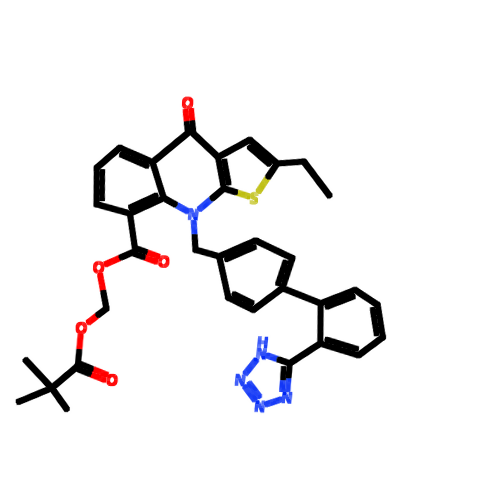 CCc1cc2c(=O)c3cccc(C(=O)OCOC(=O)C(C)(C)C)c3n(Cc3ccc(-c4ccccc4-c4nnn[nH]4)cc3)c2s1